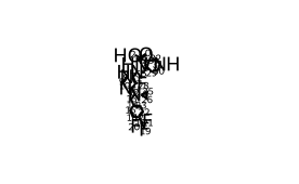 O=C(O)NC1(CNc2ncnc(N(Cc3ccc(C(F)(F)F)cc3)C3CC3)c2F)CCNCC1